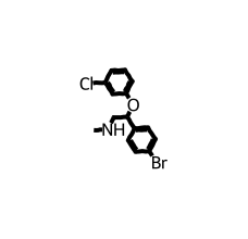 CNCC(Oc1cccc(Cl)c1)c1ccc(Br)cc1